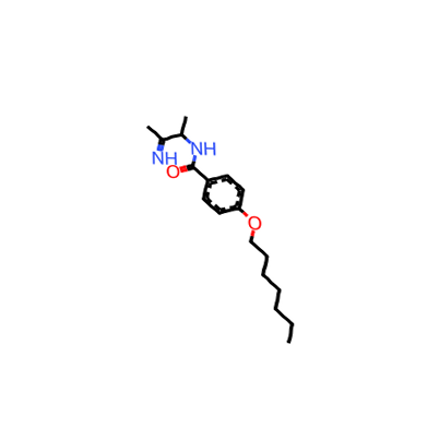 CCCCCCCOc1ccc(C(=O)NC(C)C(C)=N)cc1